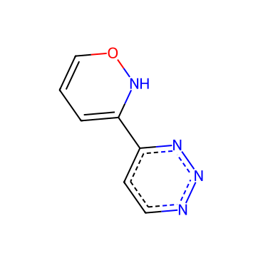 C1=CONC(c2ccnnn2)=C1